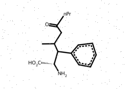 CCCC(=O)CC(C)C(c1ccccc1)[C@H](N)C(=O)O